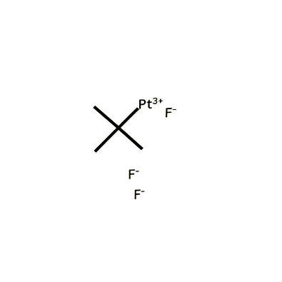 C[C](C)(C)[Pt+3].[F-].[F-].[F-]